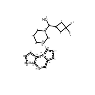 OC(C1CC(F)(F)C1)N1CCC[C@@H](c2ncc3cnc4[nH]ccc4n23)C1